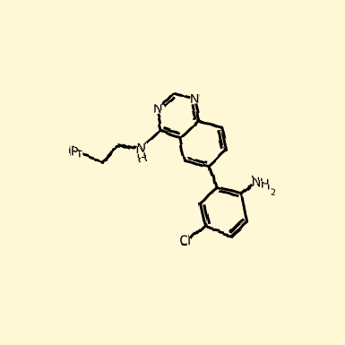 CC(C)CCNc1ncnc2ccc(-c3cc(Cl)ccc3N)cc12